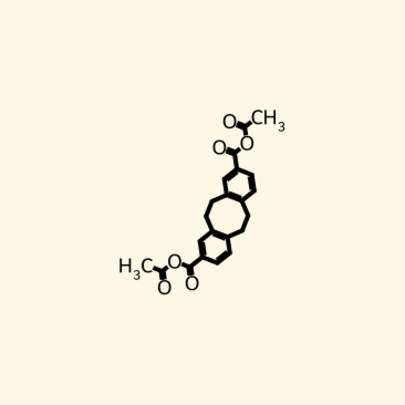 CC(=O)OC(=O)c1ccc2c(c1)CCc1cc(C(=O)OC(C)=O)ccc1CC2